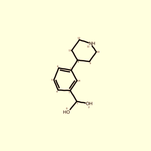 OC(O)c1cccc(C2CCNCC2)c1